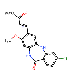 COC(=O)/C=C/c1cc2c(cc1OC(F)(F)F)NC(=O)c1ccc(Cl)cc1N2